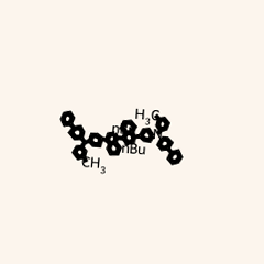 CCCCc1cc(-c2ccc(C(c3ccc(-c4ccccc4)cc3)c3cccc(C)c3)cc2)c2ccccc2c1-c1c(CCCC)cc(-c2ccc(N(c3ccc(-c4ccccc4)cc3)c3cccc(C)c3)cc2)c2ccccc12